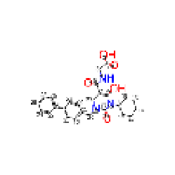 O=C(O)CNC(=O)C1=C(O)N(C2CCCCC2)C(=O)N(Cc2ccc(-c3ccccc3)cc2)C1